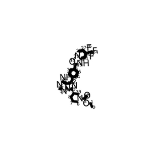 CCOC(=O)N1CCC[C@@H](c2nc(-c3ccc(C(=O)Nc4cc(C(F)(F)F)ccn4)cc3)c3c(N)ncnn23)C1